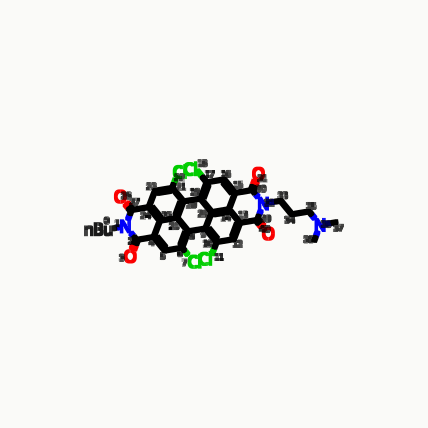 CCCCN1C(=O)c2cc(Cl)c3c4c(Cl)cc5c6c(cc(Cl)c(c7c(Cl)cc(c2c37)C1=O)c64)C(=O)N(CCCN(C)C)C5=O